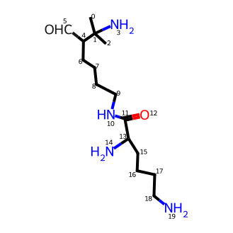 CC(C)(N)C(C=O)CCCCNC(=O)C(N)CCCCN